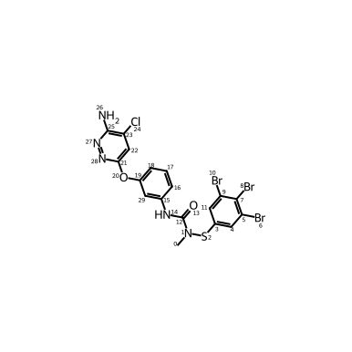 CN(Sc1cc(Br)c(Br)c(Br)c1)C(=O)Nc1cccc(Oc2cc(Cl)c(N)nn2)c1